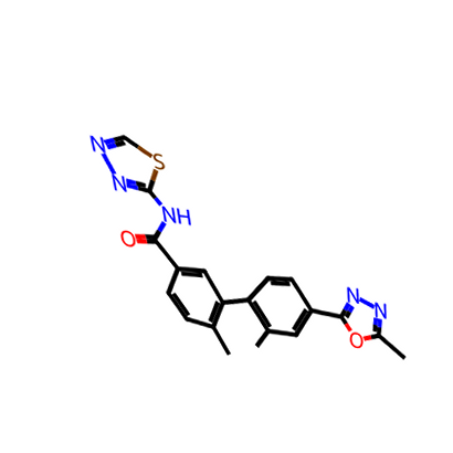 Cc1nnc(-c2ccc(-c3cc(C(=O)Nc4nncs4)ccc3C)c(C)c2)o1